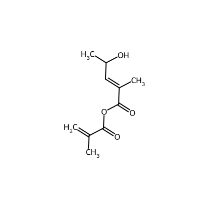 C=C(C)C(=O)OC(=O)C(C)=CC(C)O